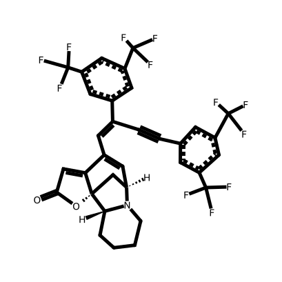 O=C1C=C2C(/C=C(\C#Cc3cc(C(F)(F)F)cc(C(F)(F)F)c3)c3cc(C(F)(F)F)cc(C(F)(F)F)c3)=C[C@@H]3C[C@@]2(O1)[C@H]1CCCCN31